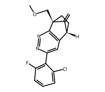 C=C1[C@@H]2CC[C@@]1(COC)c1nnc(-c3c(F)cccc3Cl)cc12